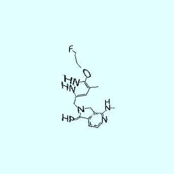 CNc1nccc2c1CN(CC1=CC(C)=C(OCCF)NN1)C2=P